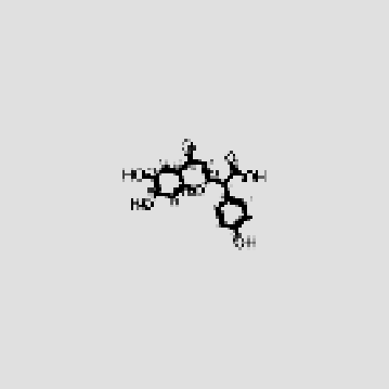 O=C(O)C(c1ccc(O)cc1)c1cc(=O)c2cc(O)c(O)cc2o1